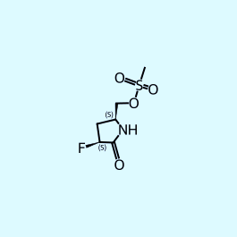 CS(=O)(=O)OC[C@@H]1C[C@H](F)C(=O)N1